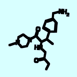 CCC(=O)CN[C@@H](C(=O)N1CCN(C)CC1)C(C)c1ccc(CN)cc1